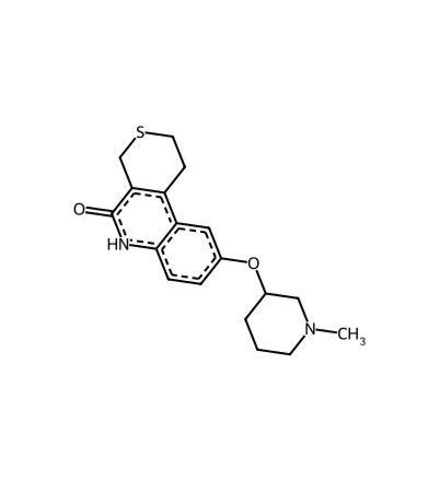 CN1CCCC(Oc2ccc3[nH]c(=O)c4c(c3c2)CCSC4)C1